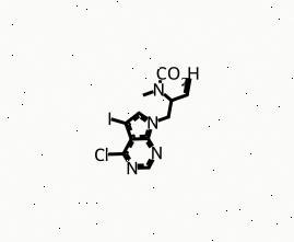 C=CC(Cn1cc(I)c2c(Cl)ncnc21)N(C)C(=O)O